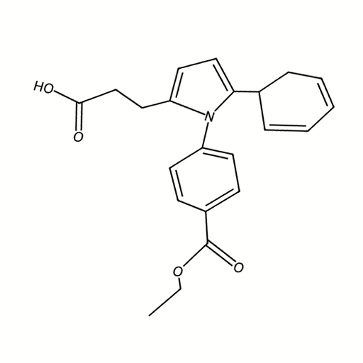 CCOC(=O)c1ccc(-n2c(CCC(=O)O)ccc2C2C=CC=CC2)cc1